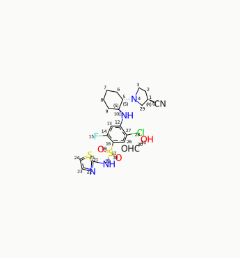 N#C[C@@H]1CCN([C@H]2CCCC[C@@H]2Nc2cc(F)c(S(=O)(=O)Nc3nccs3)cc2Cl)C1.O=CO